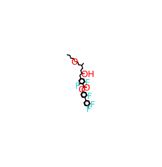 CCCCOCCC(C)CCC(O)Cc1cc(F)c(C(=O)Oc2ccc(-c3ccc(F)c(F)c3)c(F)c2)c(F)c1